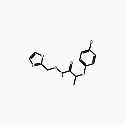 CC(Oc1ccc(Cl)cc1)C(=O)NOCc1ncco1